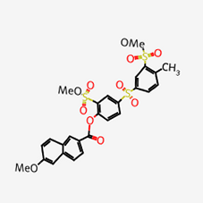 COc1ccc2cc(C(=O)Oc3ccc(S(=O)(=O)c4ccc(C)c(S(=O)(=O)OC)c4)cc3S(=O)(=O)OC)ccc2c1